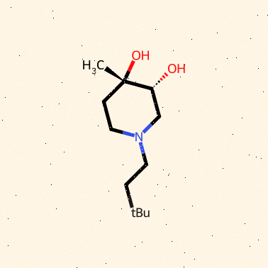 CC(C)(C)CCN1CC[C@](C)(O)[C@H](O)C1